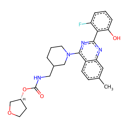 Cc1ccc2c(N3CCCC(CNC(=O)O[C@@H]4CCOC4)C3)nc(-c3c(O)cccc3F)nc2c1